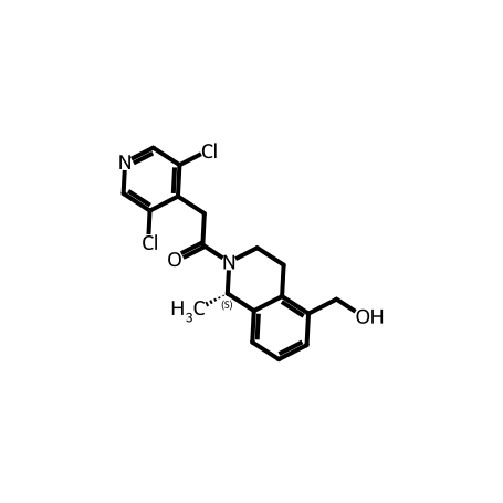 C[C@H]1c2cccc(CO)c2CCN1C(=O)Cc1c(Cl)cncc1Cl